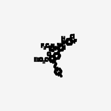 CCOC(=O)c1cn(CCN2CCN(C)CC2)c2ccc(-c3cnc(Nc4ccc(F)c(Cl)c4)nc3-n3ccc(C(F)(F)F)n3)cc2c1=O